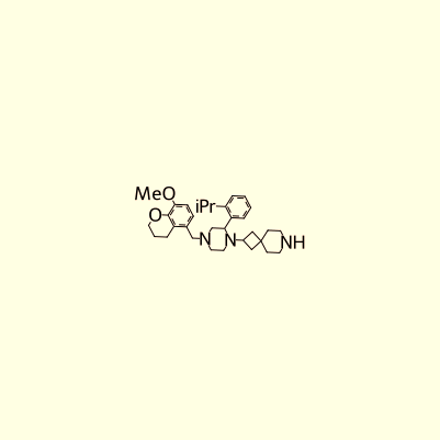 COc1ccc(CN2CCN(C3CC4(CCNCC4)C3)C(c3ccccc3C(C)C)C2)c2c1OCCC2